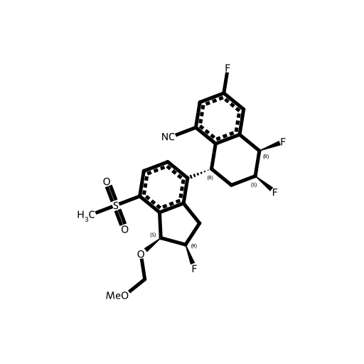 COCO[C@H]1c2c(S(C)(=O)=O)ccc([C@H]3C[C@H](F)[C@H](F)c4cc(F)cc(C#N)c43)c2C[C@H]1F